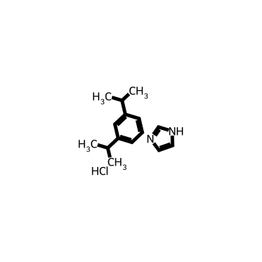 CC(C)c1cccc(C(C)C)c1.Cl.c1c[nH]cn1